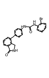 O=C(Nc1ccc(-c2cccc3c2CNC3=O)cc1)Nc1ccccc1Br